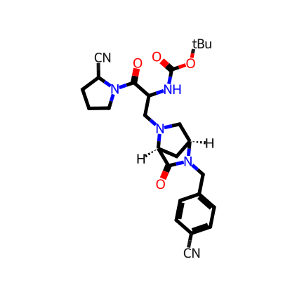 CC(C)(C)OC(=O)NC(CN1C[C@@H]2C[C@H]1C(=O)N2Cc1ccc(C#N)cc1)C(=O)N1CCCC1C#N